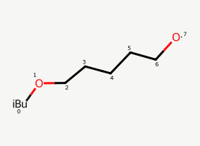 CCC(C)OCCCCC[O]